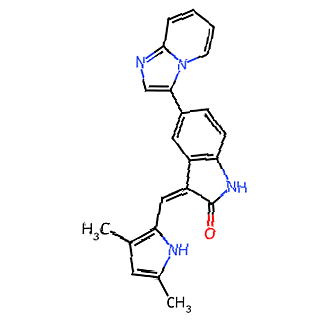 Cc1cc(C)c(/C=C2\C(=O)Nc3ccc(-c4cnc5ccccn45)cc32)[nH]1